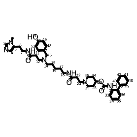 Cn1cncc1CCNC(=O)CCN(CCCCCNC(=O)CCN1CCC(OC(=O)Nc2ccccc2-c2ccccc2)CC1)Cc1ccc(O)cc1